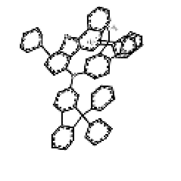 CC1(C)c2ccccc2-c2ccc(N(c3ccc4c(c3)C(c3ccccc3)(c3ccccc3)c3ccccc3-4)c3ccc(-c4ccccc4)c4oc5c6ccccc6c(-c6ccccc6)cc5c34)cc21